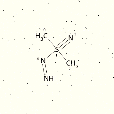 CS(C)(#N)N=N